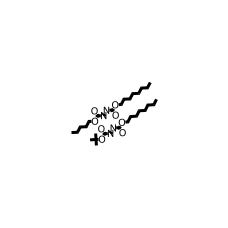 CCCCCCCCOC(=O)N=NC(=O)OC(C)(C)C.CCCCCCCCOC(=O)N=NC(=O)OCCCCC